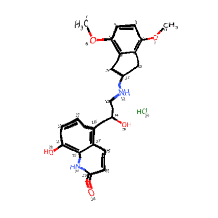 COc1ccc(OC)c2c1CC(NCC(O)c1ccc(O)c3[nH]c(=O)ccc13)C2.Cl